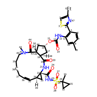 CCc1csc(-c2ccc(C)cc2NC(=O)O[C@@H]2C[C@H]3C(=O)N[C@]4(C(=O)NS(=O)(=O)C5(C)CC5)C[C@H]4/C=C\CCCCN(C)C(=O)[C@@H]3C2)n1